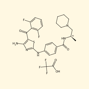 C[C@H](CN1CCCCC1)NC(=O)c1ccc(Nc2nc(N)c(C(=O)c3c(F)cccc3F)s2)cc1.O=C(O)C(F)(F)F